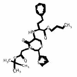 CCCCOC(=O)C(CCc1ccccc1)NC1CSC(c2cccs2)CN(CC(=O)OC(C)(C)C)C1=O